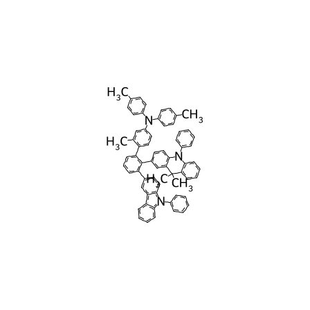 Cc1ccc(N(c2ccc(C)cc2)c2ccc(-c3cccc(-c4ccc5c(c4)c4ccccc4n5-c4ccccc4)c3-c3ccc4c(c3)C(C)(C)c3ccccc3N4c3ccccc3)c(C)c2)cc1